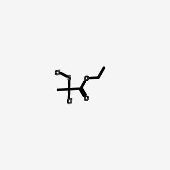 CCOC(=O)C(C)(Cl)SCl